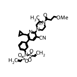 C=CS(=O)(=O)N(c1cccc(-c2cc(C#N)c(N3CCN(C(=O)CCOC)[C@H](C)C3)nc2C2CC2)c1)S(=O)(=O)C=C